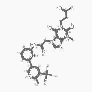 CC(=O)CCn1c(=O)c2c(ncn2CC(=O)Nc2cccc(-c3cnc(C)c(C(F)(F)F)c3)n2)n(C)c1=O